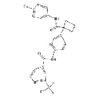 O=C(Nc1ccc(C2(C(=O)Nc3ccc(F)cc3)CCC2)cn1)c1ccnc(C(F)(F)F)c1